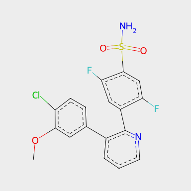 COc1cc(-c2cccnc2-c2cc(F)c(S(N)(=O)=O)cc2F)ccc1Cl